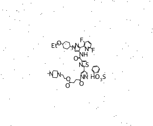 CCOC1CCC(n2cc(NC(=O)c3csc(-c4cnn(C(=O)CCC(=O)OCCN5CCN(C)CC5)c4)n3)c(-c3nc(F)ccc3F)n2)CC1.O=S(=O)(O)c1ccccc1